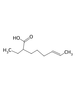 C/C=C/CCCC(CC)C(=O)O